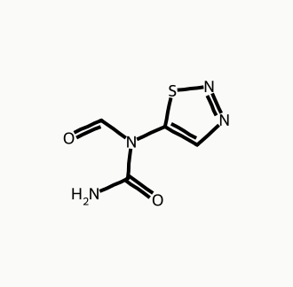 NC(=O)N(C=O)c1cnns1